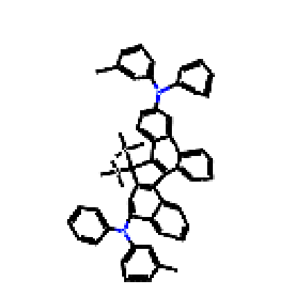 Cc1cccc(N(c2ccccc2)c2ccc3c4c(c5ccccc5c3c2)-c2c(cc(N(c3ccccc3)c3cccc(C)c3)c3ccccc23)C4([Si](C)(C)C)[Si](C)(C)C)c1